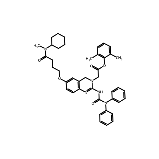 Cc1cccc(C)c1OC(=O)CN1Cc2cc(OCCCC(=O)N(C)C3CCCCC3)ccc2N=C1NC(=O)N(c1ccccc1)c1ccccc1